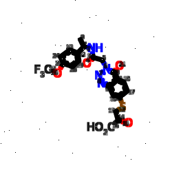 CC(NC(=O)Cn1nnc2cc(SCC(=O)C(=O)O)ccc2c1=O)c1ccc(OC(F)(F)F)cc1